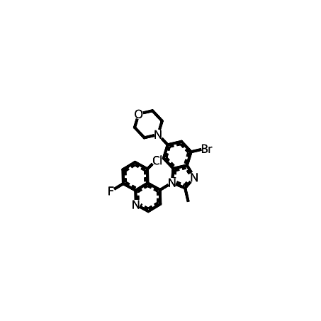 Cc1nc2c(Br)cc(N3CCOCC3)cc2n1-c1ccnc2c(F)ccc(Cl)c12